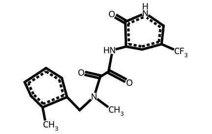 Cc1ccccc1CN(C)C(=O)C(=O)Nc1cc(C(F)(F)F)c[nH]c1=O